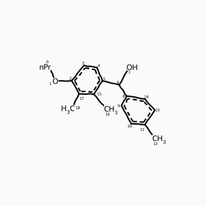 CCCOc1ccc(C(O)c2ccc(C)cc2)c(C)c1C